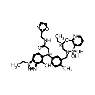 CC[C@@H]1CN(Cc2cc([C@H](CC(=O)NCc3ncco3)c3ccc4c(nnn4CC)c3C)ccc2C)S(O)(O)c2cccnc2O1